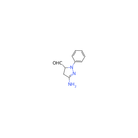 NC1=NN(c2ccccc2)C(C=O)C1